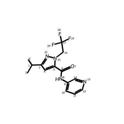 CC(C)c1cc(C(=O)Nc2cccnc2)n(CC(F)(F)F)n1